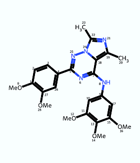 COc1ccc(-c2nc(Nc3cc(OC)c(OC)c(OC)c3)c3c(C)nc(C)n3n2)cc1OC